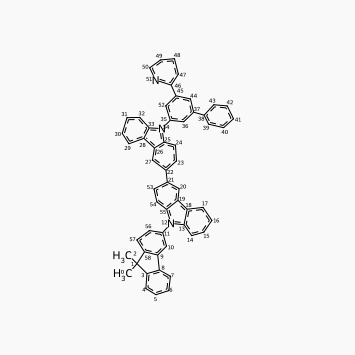 CC1(C)c2ccccc2-c2cc(-n3c4ccccc4c4cc(-c5ccc6c(c5)c5ccccc5n6-c5cc(-c6ccccc6)cc(-c6ccccn6)c5)ccc43)ccc21